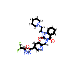 O=c1c2ccccc2n(CCN2CCCCC2)c(=O)n1Cc1ccc(-c2nnc(C(F)F)o2)cn1